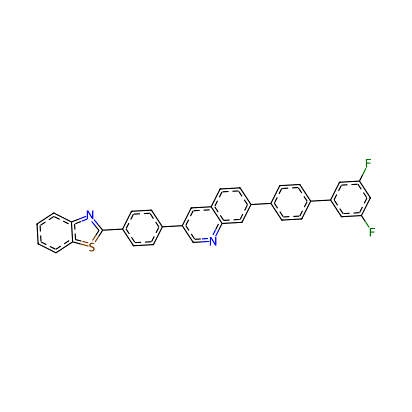 Fc1cc(F)cc(-c2ccc(-c3ccc4cc(-c5ccc(-c6nc7ccccc7s6)cc5)cnc4c3)cc2)c1